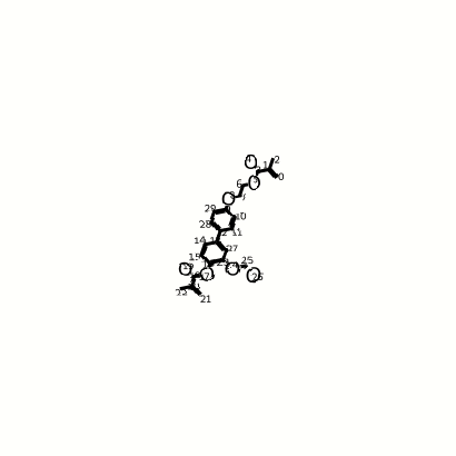 C=C(C)C(=O)OCCOc1ccc(-c2ccc(OC(=O)C(=C)C)c(OC=O)c2)cc1